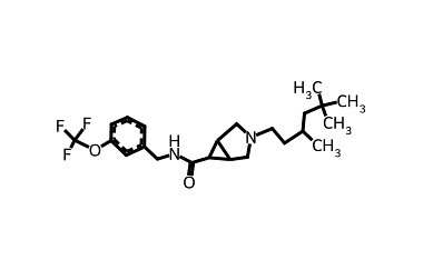 CC(CCN1CC2C(C1)C2C(=O)NCc1cccc(OC(F)(F)F)c1)CC(C)(C)C